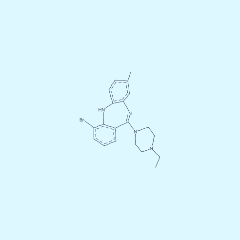 CCN1CCN(C2=Nc3cc(C)ccc3Nc3c(Br)cccc32)CC1